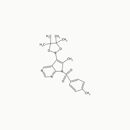 Cc1ccc(S(=O)(=O)n2c(C)c(B3OC(C)(C)C(C)(C)O3)c3cncnc32)cc1